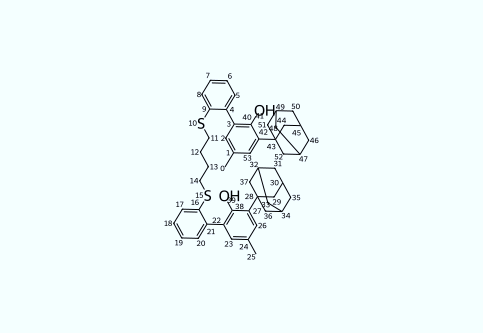 Cc1cc(-c2ccccc2SCCCCSc2ccccc2-c2cc(C)cc(C34CC5CC(CC(C5)C3)C4)c2O)c(O)c(C23CC4CC(CC(C4)C2)C3)c1